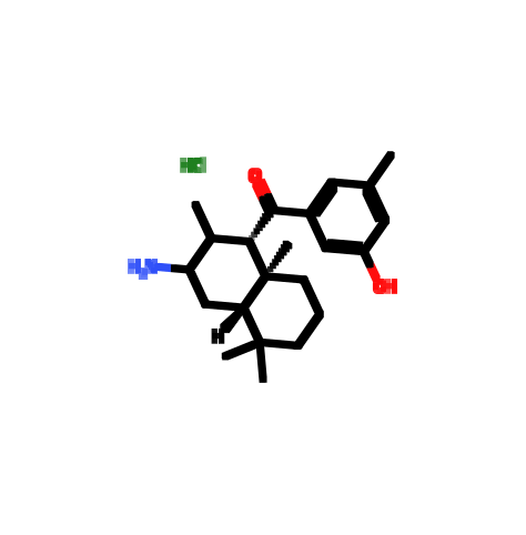 Cc1cc(O)cc(C(=O)[C@H]2C(C)C(N)C[C@H]3C(C)(C)CCC[C@]23C)c1.Cl